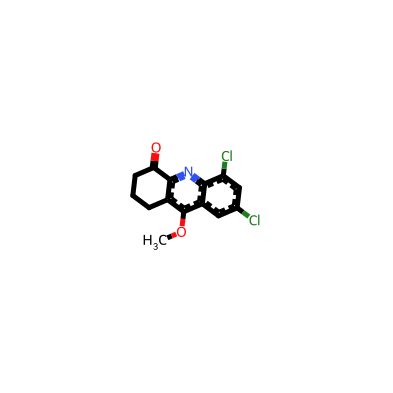 COc1c2c(nc3c(Cl)cc(Cl)cc13)C(=O)CCC2